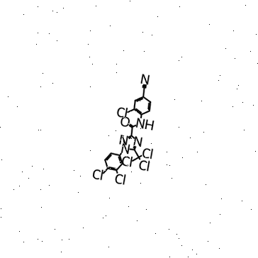 N#Cc1ccc(NC(=O)c2nc(C(Cl)(Cl)Cl)n(-c3ccc(Cl)c(Cl)c3)n2)c(Cl)c1